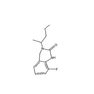 CCCC(C)N1Cc2cccc(F)c2NC1=O